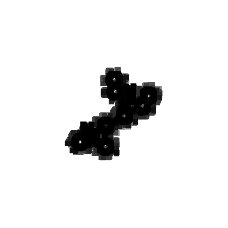 c1ccc2c(c1)ccc1c2nc2c3c4ccccc4ccc3c3ccc(-c4ccc5c(c4)c4ccccc4n4c6ccccc6nc54)cc3n12